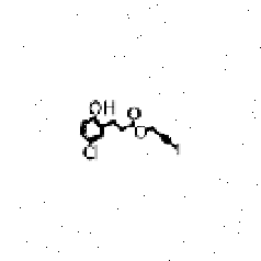 O=C(CCc1cc(Cl)ccc1O)OCC#CI